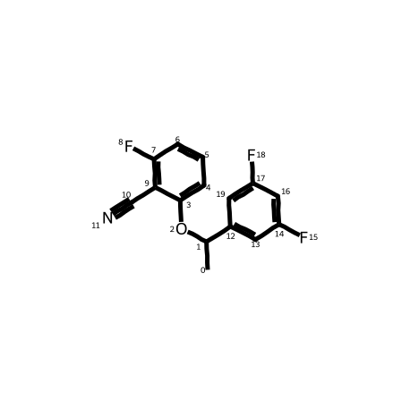 CC(Oc1cccc(F)c1C#N)c1cc(F)cc(F)c1